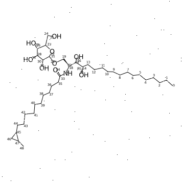 CCCCCCCCCCCCCC[C@@H](O)[C@@H](O)[C@H](COC1OC(CO)C(O)C(O)C1O)NC(=O)CCCCCCCCCCC1CC1C